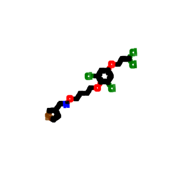 ClC(Cl)=CCOc1cc(Cl)c(OCCCCON=Cc2ccsc2)c(Cl)c1